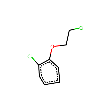 ClCCOc1ccc[c]c1Cl